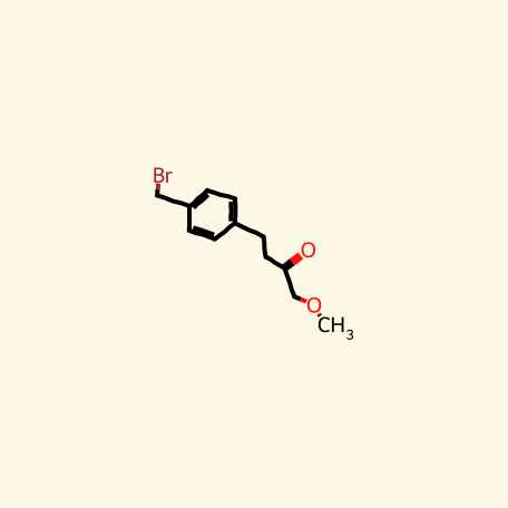 COCC(=O)CCc1ccc(CBr)cc1